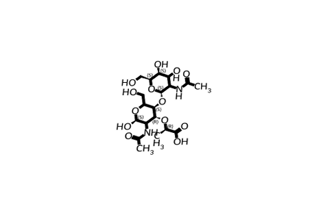 CC(=O)NC1C(O)[C@H](O)[C@H](CO)O[C@H]1O[C@@H]1C(CO)O[C@H](O)C(NC(C)=O)[C@H]1O[C@H](C)C(=O)O